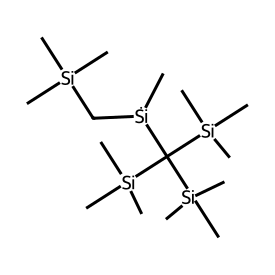 C[Si](C[Si](C)(C)C)C([Si](C)(C)C)([Si](C)(C)C)[Si](C)(C)C